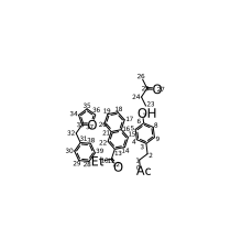 CC(=O)CCc1ccc(O)cc1.CCC(=O)c1ccc2ccccc2c1.CCC(C)=O.c1ccc(Cc2ccco2)cc1